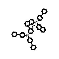 c1ccc(-c2ccc(N(c3ccc(-c4ccccc4)cc3)c3ccc4c(c3)-c3cccc5ccc(N(c6ccc(-c7ccccc7)cc6)c6ccc7ccccc7c6)c(c35)O4)cc2)cc1